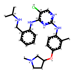 Cc1cc(OC2CCN(C)C2)ccc1Nc1ncc(Cl)c(Nc2ccccc2CNC(C)C)n1